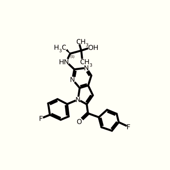 C[C@H](Nc1ncc2cc(C(=O)c3ccc(F)cc3)n(-c3ccc(F)cc3)c2n1)C(C)(C)O